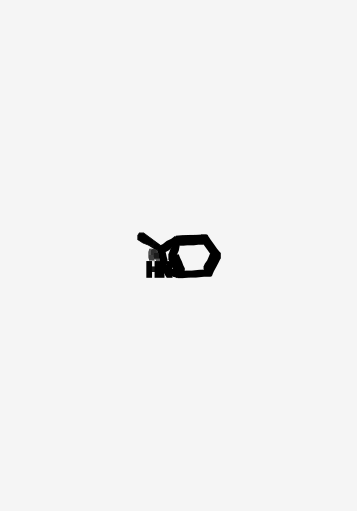 C[C@@H]1Nc2cccc1c2